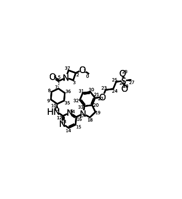 COC1CN(C(=O)[C@H]2CC[C@H](Nc3nccc(N4CCc5c(OCCCS(C)(=O)=O)cccc54)n3)CC2)C1